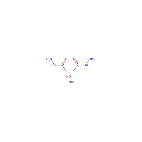 NNC(=O)/C=C\C(=O)NN.[Na+].[OH-]